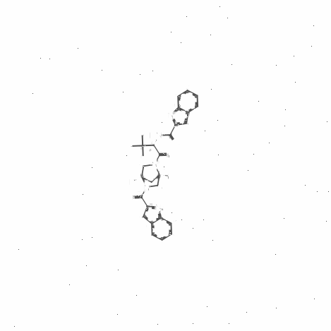 CC(C)(C)[C@@H](NC(=O)c1cc2ccccc2[nH]1)C(=O)N1C[C@H]2C[C@H]1CN2C(=O)c1cc2ccccc2[nH]1